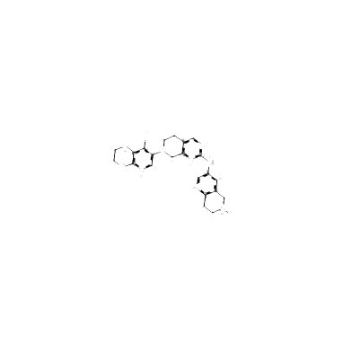 Cc1c(N2CCc3cnc(Nc4cnc5c(c4)CN(C)CC5)nc3C2)cnc2c1NCCO2